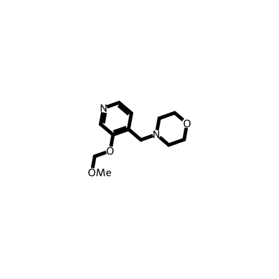 COCOc1cnccc1CN1CCOCC1